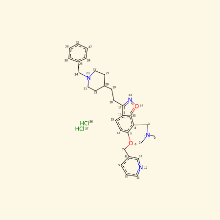 CN(C)Cc1c(OCc2cccnc2)ccc2c(CCC3CCN(Cc4ccccc4)CC3)noc12.Cl.Cl